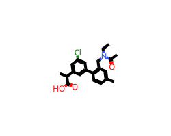 CCN(Cc1cc(C)ccc1-c1cc(Cl)cc(C(C)C(=O)O)c1)C(C)=O